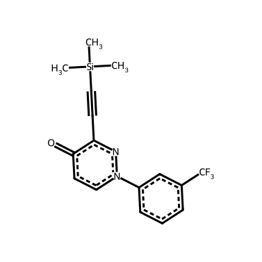 C[Si](C)(C)C#Cc1nn(-c2cccc(C(F)(F)F)c2)ccc1=O